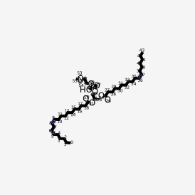 CCCCC/C=C\C/C=C\CCCCCCCCCC(=O)O[C@H](COC(=O)CCCCCCCCC/C=C\CCCCCC)COP(=O)(O)OCC[N+](C)(C)C